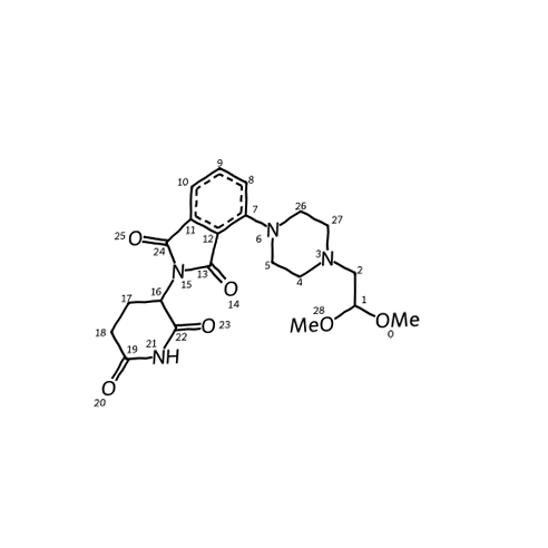 COC(CN1CCN(c2cccc3c2C(=O)N(C2CCC(=O)NC2=O)C3=O)CC1)OC